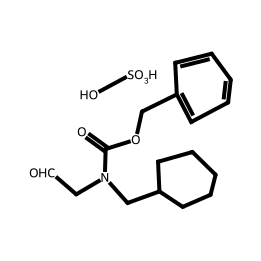 O=CCN(CC1CCCCC1)C(=O)OCc1ccccc1.O=S(=O)(O)O